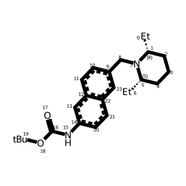 CC[C@@H]1CCC[C@H](CC)N1Cc1ccc2cc(NC(=O)OC(C)(C)C)ccc2c1